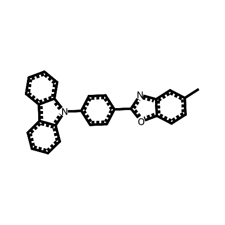 Cc1ccc2oc(-c3ccc(-n4c5ccccc5c5ccccc54)cc3)nc2c1